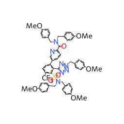 COc1ccc(CN(Cc2ccc(OC)cc2)C(=O)c2ccc(-c3ccc(C(F)(F)F)c(S(=O)(=O)N(Cc4ccc(OC)cc4)Cc4ccc(OC)cc4)c3-c3nnn(Cc4ccc(OC)cc4)n3)cn2)cc1